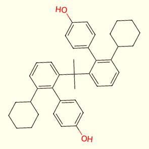 CC(C)(c1cccc(C2CCCCC2)c1-c1ccc(O)cc1)c1cccc(C2CCCCC2)c1-c1ccc(O)cc1